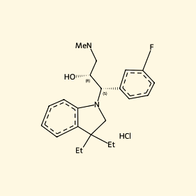 CCC1(CC)CN([C@@H](c2cccc(F)c2)[C@H](O)CNC)c2ccccc21.Cl